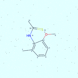 COc1cccc(C)c1NC(C)=S